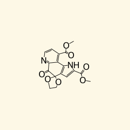 COC(=O)c1cc2c([nH]1)-c1c(C(=O)OC)ccnc1C(=O)C21OCCO1